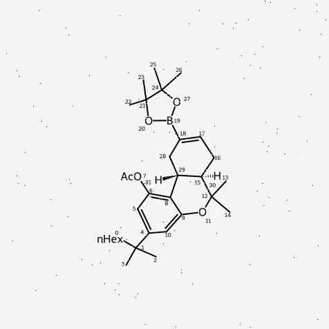 CCCCCCC(C)(C)c1cc(OC(C)=O)c2c(c1)OC(C)(C)[C@@H]1CC=C(B3OC(C)(C)C(C)(C)O3)C[C@@H]21